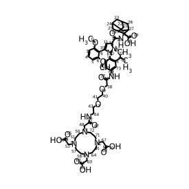 COc1cccc(OC)c1-c1cc(C(=O)NC2(C(=O)O)C3CC4CC(C3)CC2C4)nn1-c1ccc(NC(=O)COCCOCCNC(=O)CN2CCN(CC(=O)O)CCN(CC(=O)O)CCN(CC(=O)O)CC2)cc1C(C)C